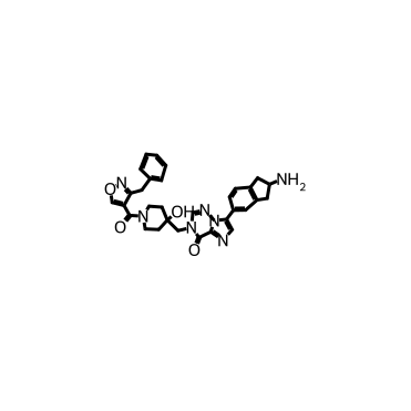 NC1Cc2ccc(-c3cnc4c(=O)n(CC5(O)CCN(C(=O)c6conc6Cc6ccccc6)CC5)cnn34)cc2C1